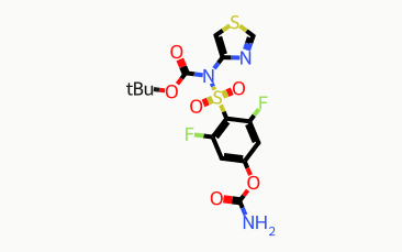 CC(C)(C)OC(=O)N(c1cscn1)S(=O)(=O)c1c(F)cc(OC(N)=O)cc1F